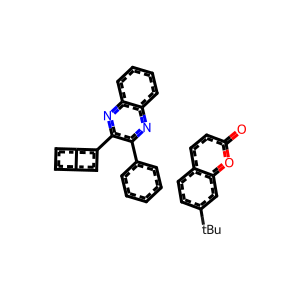 CC(C)(C)c1ccc2ccc(=O)oc2c1.c1ccc(-c2nc3ccccc3nc2-c2cc3ccc2-3)cc1